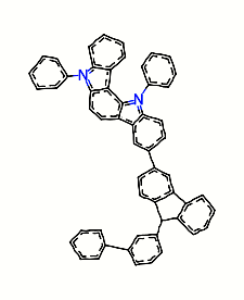 c1ccc(-c2cccc(C3c4ccccc4-c4cc(-c5ccc6c(c5)c5ccc7c(c8ccccc8n7-c7ccccc7)c5n6-c5ccccc5)ccc43)c2)cc1